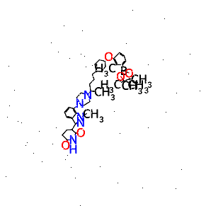 Cc1c(OC2CCC(CCC[C@@H](C)N3CCN(c4cccc5c(C6CCC(=O)NC6=O)nn(C)c45)CC3)CC2)cccc1B1OC(C)(C)C(C)(C)O1